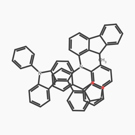 CC12c3ccccc3-c3cccc(c31)N(c1ccccc1-c1ccccc1)c1c2ccc2oc3cccc(-c4cccc5c4c4ccccc4n5-c4ccccc4)c3c12